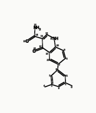 Cc1cc(C)cc(-c2ccc3[nH]cc(C(N)=O)c(=O)c3c2)c1